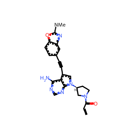 C=CC(=O)N1CC[C@H](n2cc(C#Cc3ccc4oc(NC)nc4c3)c3c(N)ncnc32)C1